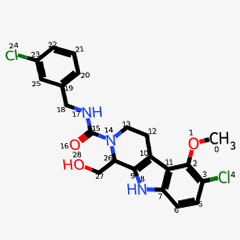 COc1c(Cl)ccc2[nH]c3c(c12)CCN(C(=O)NCc1cccc(Cl)c1)C3CO